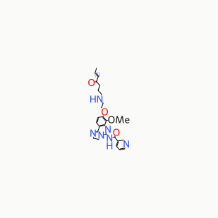 C/C=C/C(=O)CCCNCCOc1ccc2c(c1OC)N=C(NC(=O)c1cccnc1)N1CCN=C21